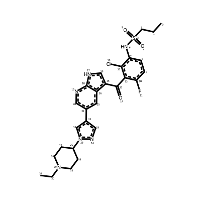 CCCS(=O)(=O)Nc1ccc(F)c(C(=O)c2c[nH]c3ncc(-c4cnn(C5CCN(CC)CC5)c4)cc23)c1Cl